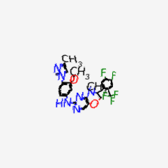 COc1cc(Nc2ncc3c(n2)N(C)C(c2cc(F)c(F)cc2C(F)(F)F)CO3)ccc1-n1cnc(C)c1